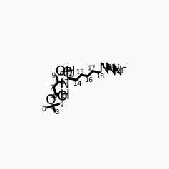 CC(C)(C)OC(=O)CC(CO)NC(=O)CCCCCN=[N+]=[N-]